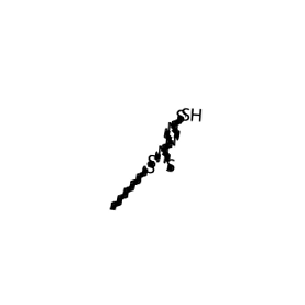 CCCCCCCCCCCCSSCCN(CCSC)CCN1CCN(CCSS)CC1